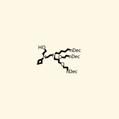 CCCCCCCCCCCCCCCN(CCN(CCO)C1CCC1)CC(COCCCCCCCCCCCC)OCCCCCCCCCCCC